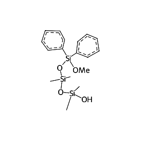 CO[Si](O[Si](C)(C)O[Si](C)(C)O)(c1ccccc1)c1ccccc1